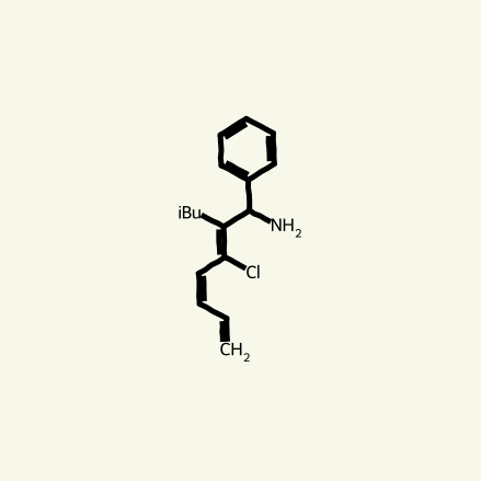 C=C/C=C\C(Cl)=C(/C(C)CC)C(N)c1ccccc1